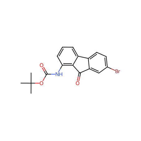 CC(C)(C)OC(=O)Nc1cccc2c1C(=O)c1cc(Br)ccc1-2